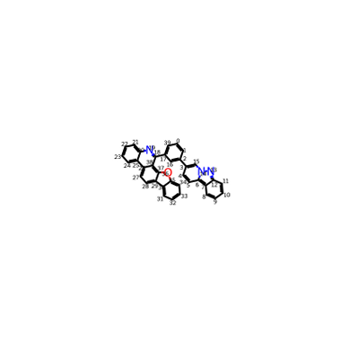 c1cc(-c2ccc3c4ccccc4nn3c2)cc(-c2nc3ccccc3c3ccc4c5ccccc5oc4c23)c1